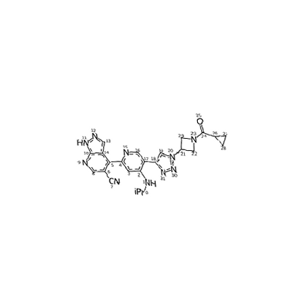 CC(C)Nc1cc(-c2c(C#N)cnc3[nH]ncc23)ncc1-c1cn(C2CN(C(=O)C3CC3)C2)nn1